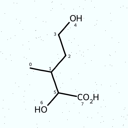 CC(CCO)C(O)C(=O)O